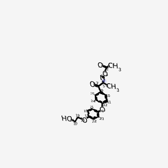 CC(=O)O/N=C(\C)C(=O)c1ccc(Oc2ccc(OCCO)cc2)cc1